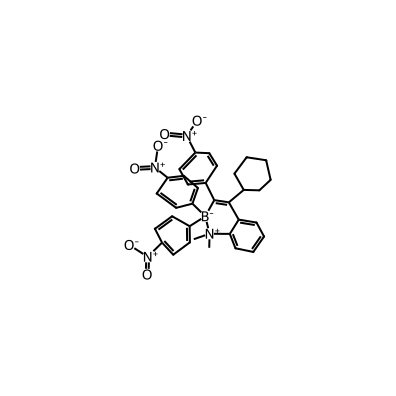 C[N+]1(C)c2ccccc2C(C2CCCCC2)=C(c2ccc([N+](=O)[O-])cc2)[B-]1(c1ccc([N+](=O)[O-])cc1)c1ccc([N+](=O)[O-])cc1